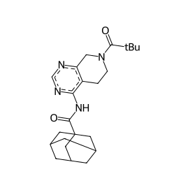 CC(C)(C)C(=O)N1CCc2c(ncnc2NC(=O)C23CC4CC(CC(C4)C2)C3)C1